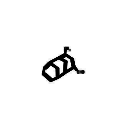 Cc1cc([C]=O)c2cc1c1cccc2c1